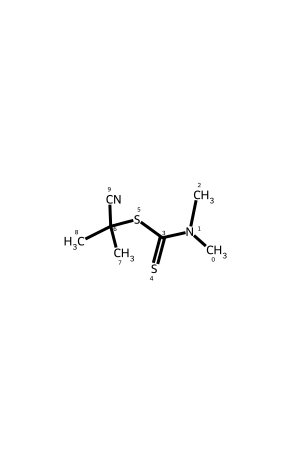 CN(C)C(=S)SC(C)(C)C#N